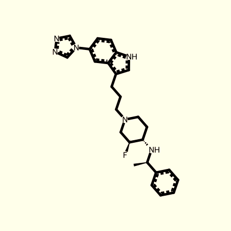 C[C@@H](N[C@H]1CCN(CCCc2c[nH]c3ccc(-n4cnnc4)cc23)C[C@@H]1F)c1ccccc1